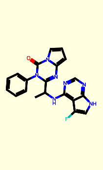 CC(Nc1ncnc2[nH]cc(F)c12)c1nc2cccn2c(=O)n1-c1ccccc1